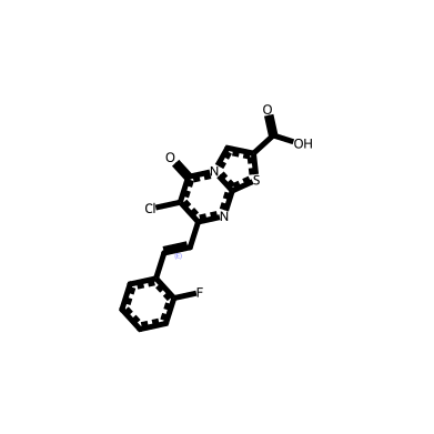 O=C(O)c1cn2c(=O)c(Cl)c(/C=C/c3ccccc3F)nc2s1